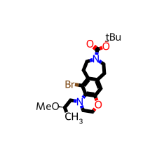 CO[C@@H](C)CN1CCOc2cc3c(c(Br)c21)CCN(C(=O)OC(C)(C)C)CC3